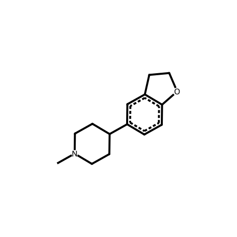 CN1CCC(c2ccc3c(c2)CCO3)CC1